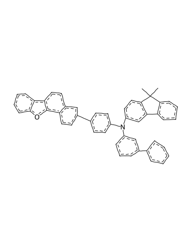 CC1(C)c2ccccc2-c2cc(N(c3ccc(-c4ccc5c(ccc6c7ccccc7oc56)c4)cc3)c3cccc(-c4ccccc4)c3)ccc21